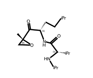 CC(C)CC[C@H](NC(=O)[C@@H](NC(C)C)C(C)C)C(=O)[C@@]1(C)CO1